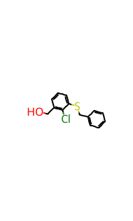 OCc1cccc(SCc2ccccc2)c1Cl